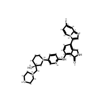 O=C1NCc2c(-c3cnc4cc(F)ccn34)ccc(Nc3ccc(N4CCC[C@@](O)(CN5CCOCC5)C4)cn3)c21